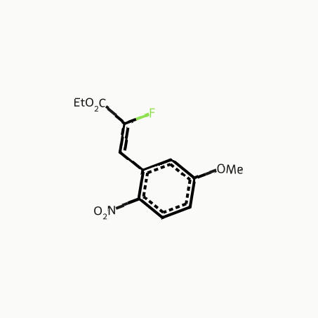 CCOC(=O)C(F)=Cc1cc(OC)ccc1[N+](=O)[O-]